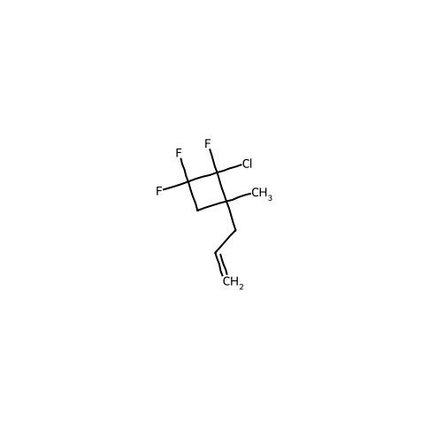 C=CCC1(C)CC(F)(F)C1(F)Cl